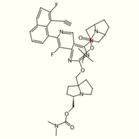 C#Cc1c(F)ccc2cccc(-c3ncc4c(N5CC6CCC(C5)N6C(=O)OC(C)(C)C)nc(OCC56CCCN5[C@@H](COC(=O)N(C)C)CC6)nc4c3F)c12